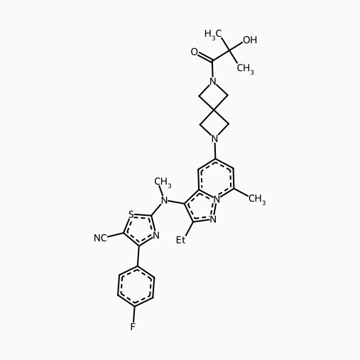 CCc1nn2c(C)cc(N3CC4(CN(C(=O)C(C)(C)O)C4)C3)cc2c1N(C)c1nc(-c2ccc(F)cc2)c(C#N)s1